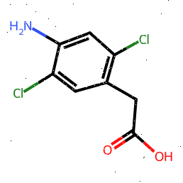 Nc1cc(Cl)c(CC(=O)O)cc1Cl